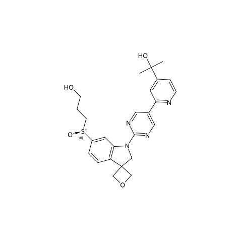 CC(C)(O)c1ccnc(-c2cnc(N3CC4(COC4)c4ccc([S@@+]([O-])CCCO)cc43)nc2)c1